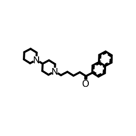 O=C(CCCCN1CCC(N2CCCCC2)CC1)c1ccc2ccccc2c1